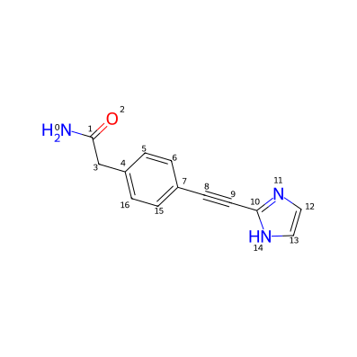 NC(=O)Cc1ccc(C#Cc2ncc[nH]2)cc1